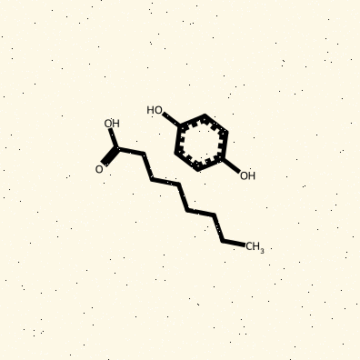 CCCCCCCC(=O)O.Oc1ccc(O)cc1